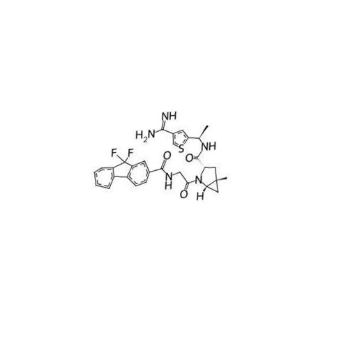 C[C@@H](NC(=O)[C@@H]1C[C@]2(C)C[C@@H]2N1C(=O)CNC(=O)c1ccc2c(c1)C(F)(F)c1ccccc1-2)c1cc(C(=N)N)cs1